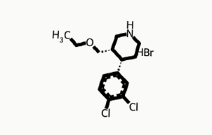 Br.CCOC[C@@H]1CNCC[C@@H]1c1ccc(Cl)c(Cl)c1